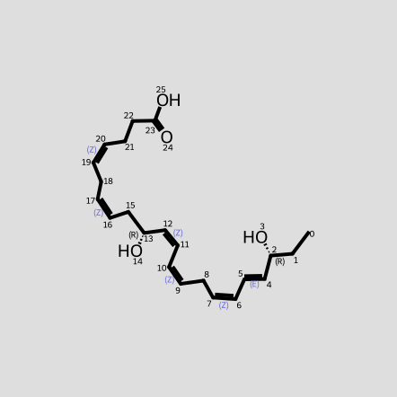 CC[C@@H](O)/C=C/C=C\C/C=C\C=C/[C@H](O)C/C=C\C/C=C\CCC(=O)O